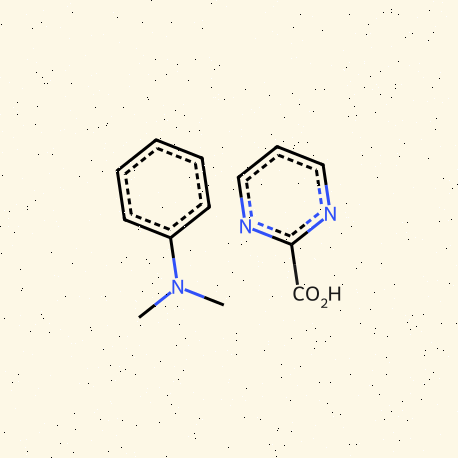 CN(C)c1ccccc1.O=C(O)c1ncccn1